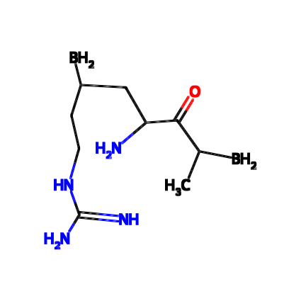 BC(CCNC(=N)N)CC(N)C(=O)C(B)C